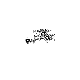 CC[C@@H]1OC(OCCOCCNC(=O)OCc2ccccc2)[C@@H](O[C@H]2O[C@H](COC(C)=O)[C@@H](OC(N)=O)[C@H](OC(C)=O)[C@@H]2OC(C)=O)[C@@H](OC(C)=O)[C@@H]1C